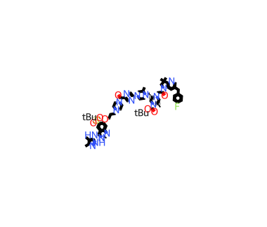 Cc1n[nH]c(Nc2ncnc3cc(OCCCN4CCN(C(=O)c5cnc(N6CCN(C[C@H]7CN(C(=O)OC(C)(C)C)[C@H](C)CN7CC(=O)N7CC(C)(C)c8ncc(Cc9ccc(F)cc9)cc87)C(C)C6)cn5)CC4)c(S(=O)(=O)C(C)(C)C)cc23)c1C